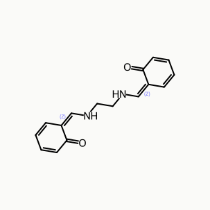 O=C1C=CC=C/C1=C/NCCN/C=C1/C=CC=CC1=O